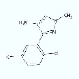 Cn1cc(N)c(-c2cc(Cl)ccc2Cl)n1